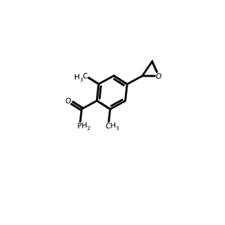 Cc1cc(C2CO2)cc(C)c1C(=O)P